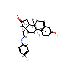 C[C@]12CC[C@H](O)CC1=CC[C@H]1[C@@H]3CC(=O)C[C@@]3(CCNc3ccc(Cl)cc3)CC[C@@H]12